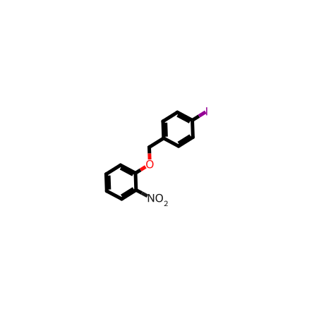 O=[N+]([O-])c1ccccc1OCc1ccc(I)cc1